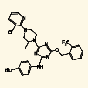 CC1CN(c2ncccc2Cl)CCN1c1nc(Nc2ccc(C(C)(C)C)cc2)nc(OCc2ccccc2C(F)(F)F)n1